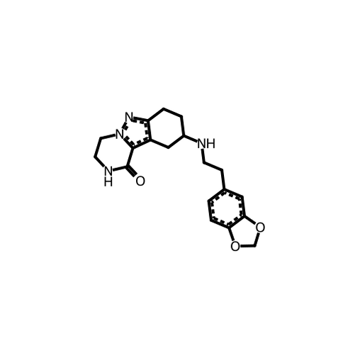 O=C1NCCn2nc3c(c21)CC(NCCc1ccc2c(c1)OCO2)CC3